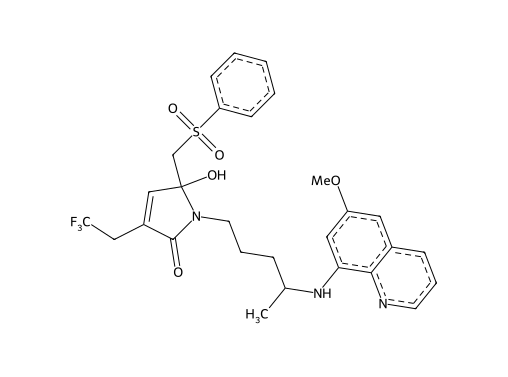 COc1cc(NC(C)CCCN2C(=O)C(CC(F)(F)F)=CC2(O)CS(=O)(=O)c2ccccc2)c2ncccc2c1